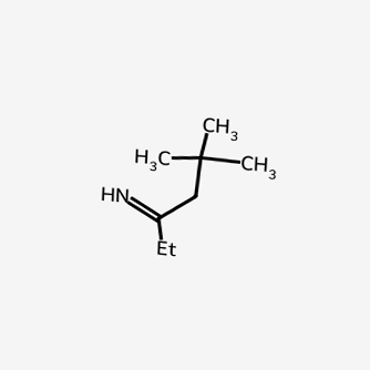 CCC(=N)CC(C)(C)C